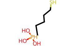 O[PH](O)(O)CCCCCS